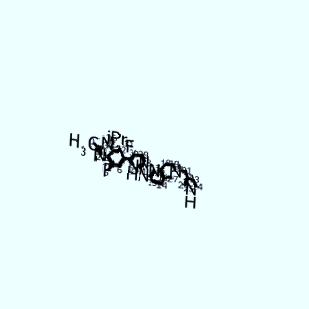 Cc1nc2c(F)cc(-c3nc(Nc4ccc5c(n4)CCN(CC4CCNC4)C5)ncc3F)cc2n1C(C)C